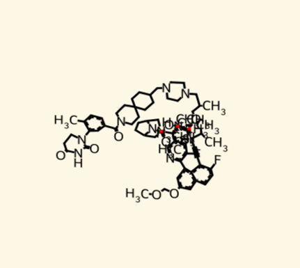 COCOc1cc(-c2ncc3c(N4CC5CCC(C4)N5C(=O)OC(C)(C)C)nc(OC[C@H](C)CN4CCN(CC5CCC6(CC5)CCN(C(=O)c5ccc(C)c(N7CCC(=O)NC7=O)c5)CC6)CC4)nc3c2F)c2c(C#C[Si](C(C)C)(C(C)C)C(C)C)c(F)ccc2c1